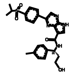 Cc1ccc([C@@H](CCO)NC(=O)c2c[nH]c3ncc(-c4ccc(S(=O)(=O)C(C)C)cc4)nc23)cc1